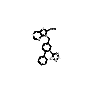 CCCCc1nc2cncnc2n1Cc1ccc(-c2ccccc2)c(-c2nnn[nH]2)c1